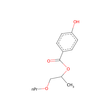 CCCOCC(C)OC(=O)c1ccc(O)cc1